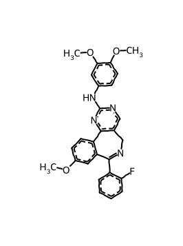 COc1ccc2c(c1)C(c1ccccc1F)=NCc1cnc(Nc3ccc(OC)c(OC)c3)nc1-2